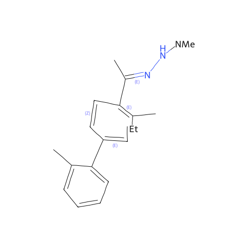 C\C=C(/C=C\C(C(\C)=N\NNC)=C(\C)CC)c1ccccc1C